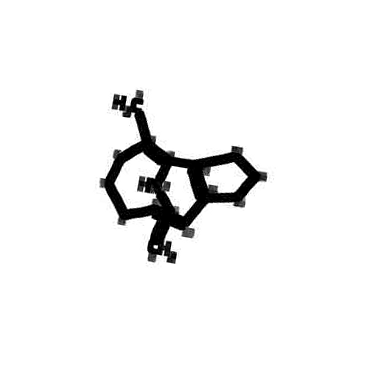 C=CN/C1=C(/C)CCC/C=C/C2=C1CCC2